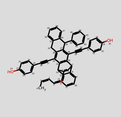 C/C=C\C=C/C1=CC2c3ccccc3C1c1c(C#Cc3ccc(O)cc3)c3c(c(C#Cc4ccc(O)cc4)c12)C(c1ccccc1)c1ccccc1C3